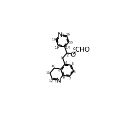 O=COC(Cc1cccc2c1CCC=N2)c1ccncc1